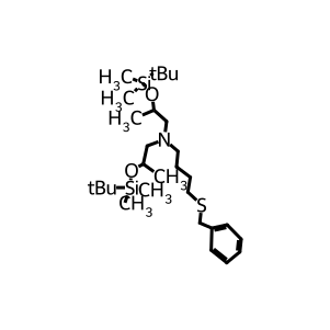 CC(CN(CCCCSCc1ccccc1)CC(C)O[Si](C)(C)C(C)(C)C)O[Si](C)(C)C(C)(C)C